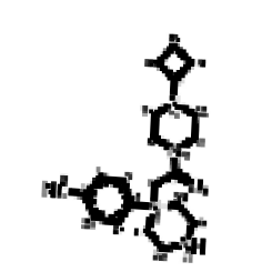 N#Cc1ccc([N+]2(CC(=O)N3CCN(C4CCC4)CC3)CCNCC2)cc1